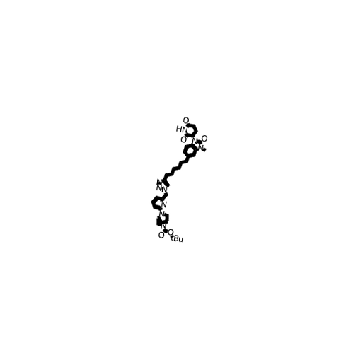 Cn1c(=O)n(C2CCC(=O)NC2=O)c2ccc(CCCCCCc3cn(Cc4cccc(N5CC6CC5CN6C(=O)OC(C)(C)C)n4)nn3)cc21